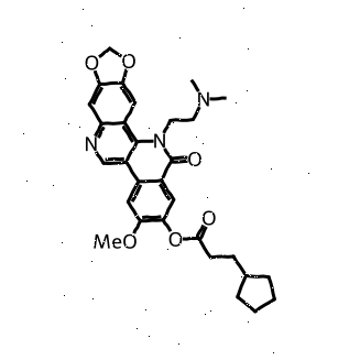 COc1cc2c(cc1OC(=O)CCC1CCCC1)c(=O)n(CCN(C)C)c1c3cc4c(cc3ncc21)OCO4